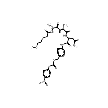 COCCOCC(=O)N[C@@H](C)C(=O)N[C@@H](C)C(=O)N[C@@H](CC(N)=O)C(=O)Nc1ccc(COC(=O)Oc2ccc([N+](=O)[O-])cc2)cc1